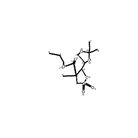 CCOC(=O)C1(C)CS(=O)(=O)OC1C1COC(C)(C)O1